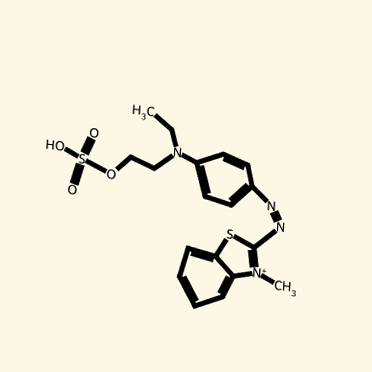 CCN(CCOS(=O)(=O)O)c1ccc(/N=N\c2sc3ccccc3[n+]2C)cc1